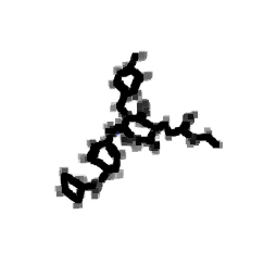 CCOC(=O)CCn1c(=O)[nH]/c(=N\c2ccc(OC3CCC3)cc2)n(Cc2ccc(C)cc2)c1=O